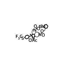 CC(=O)Oc1cc(SC(F)(F)F)ccc1-n1nc2c3c1CCN(C(=O)OC(C)(C)C)C3CN(C(=O)OCc1ccccc1)CC2